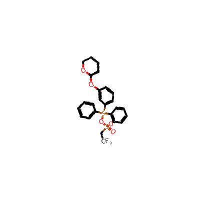 O=S(=O)(CC(F)(F)F)OS(c1ccccc1)(c1ccccc1)c1cccc(OC2CCCCO2)c1